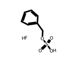 F.O=S(=O)(O)OCc1ccccc1